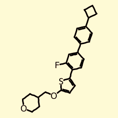 Fc1cc(-c2ccc(C3CCC3)cc2)ccc1-c1ccc(OCC2CCOCC2)s1